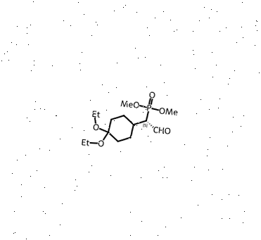 CCOC1(OCC)CCC([C@@H](C=O)P(=O)(OC)OC)CC1